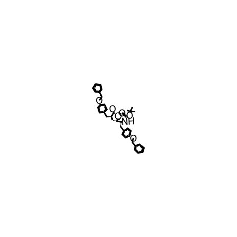 CC(C)(C)OC(=O)N[C@@H](Cc1ccc(OCc2ccccc2)cc1)[C@@H]1C[C@@H](Cc2ccc(OCc3ccccc3)cc2)C(=O)O1